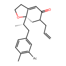 C=CCC1C[C@]2([C@@H](C)Cc3ccc(C)c(C(C)=O)c3)OCCC2=CC1=O